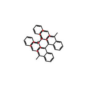 Cc1cc(P(c2ccccc2)c2ccccc2)c(-c2c(P(c3ccccc3)c3ccccc3)cc(C)c3ccccc23)c2ccccc12